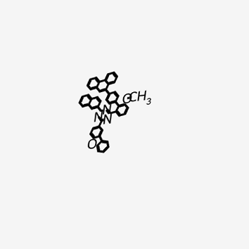 COc1cccc(-c2nc(-c3ccc4ccccc4c3)nc(-c3ccc4oc5ccccc5c4c3)n2)c1-c1ccc(-c2cc3ccccc3c3ccccc23)cc1